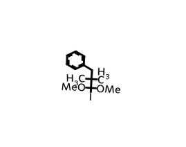 COC(I)(OC)C(C)(C)Cc1ccccc1